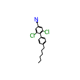 CCCCCCc1ccc(-c2c(Cl)cc(C#N)cc2Cl)cc1